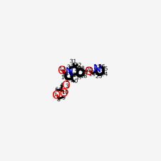 Cc1c(OCC2COCCO2)cc(=O)n2c1-c1ccc(OCc3ccccn3)cc1C(C)(C)C2